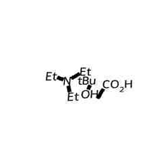 CC(=O)O.CC(C)(C)O.CCN(CC)CC